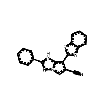 N#Cc1cn2nc(-c3ccccc3)[nH]c2c1-c1nc2ccccc2s1